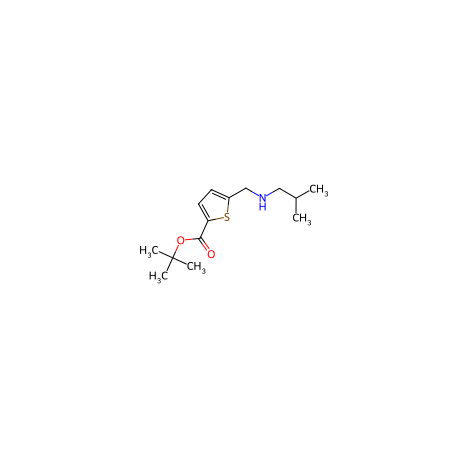 CC(C)CNCc1ccc(C(=O)OC(C)(C)C)s1